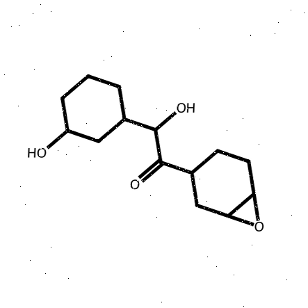 O=C(C1CCC2OC2C1)C(O)C1CCCC(O)C1